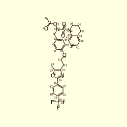 CC(=O)ON(Cc1ccc(OCCc2nc(-c3ccc(C(F)(F)F)cc3)oc2C)cc1)S(=O)(=O)N1CCCc2ccccc21